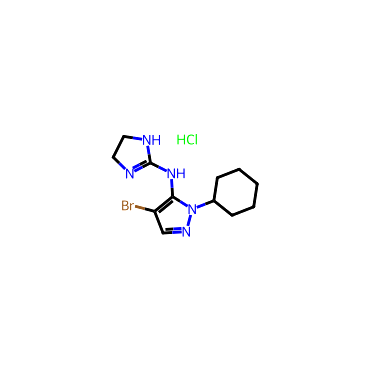 Brc1cnn(C2CCCCC2)c1NC1=NCCN1.Cl